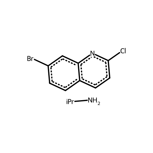 CC(C)N.Clc1ccc2ccc(Br)cc2n1